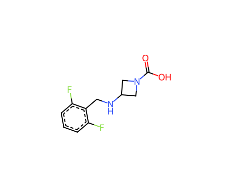 O=C(O)N1CC(NCc2c(F)cccc2F)C1